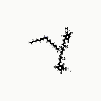 CCCCCCCC/C=C\CCCCCCCC(=O)OC(COC(=O)CCCc1c(I)cc(I)c(N)c1I)COC(=O)CCCc1c(I)cc(I)c(N)c1I